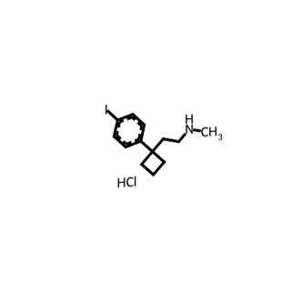 CNCCC1(c2ccc(I)cc2)CCC1.Cl